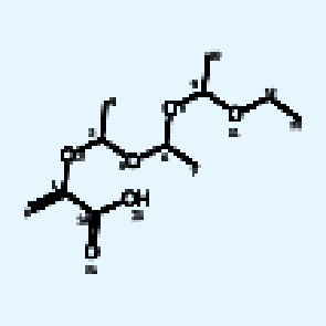 C=C(OC(C)OC(C)OC(C)OCC)C(=O)O